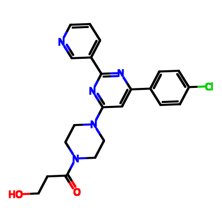 O=C(CCO)N1CCN(c2cc(-c3ccc(Cl)cc3)nc(-c3cccnc3)n2)CC1